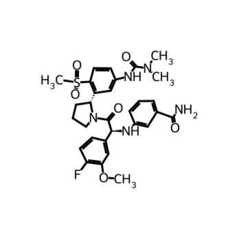 COc1cc([C@H](Nc2cccc(C(N)=O)c2)C(=O)N2CCC[C@@H]2c2cc(NC(=O)N(C)C)ccc2S(C)(=O)=O)ccc1F